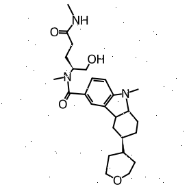 CNC(=O)CC[C@@H](CO)N(C)C(=O)c1ccc2c(c1)C1C[C@H](C3CCOCC3)CCC1N2C